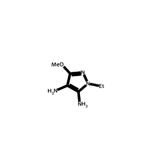 CCn1nc(OC)c(N)c1N